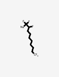 FC(CCCCCCCC(F)(F)F)[C](F)(F)[Na]